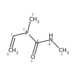 C=CP(C)C(=O)NC